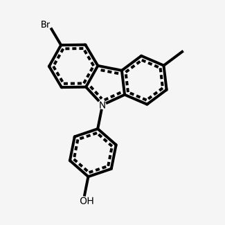 Cc1ccc2c(c1)c1cc(Br)ccc1n2-c1ccc(O)cc1